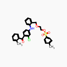 Cc1ccc(S(=O)(=O)OCCOCc2ccccc2Nc2ccc(C(=O)c3ccccc3C)c(Cl)c2)cc1